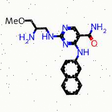 COCC(N)CNc1ncc(C(N)=O)c(Nc2ccc3ccccc3c2)n1